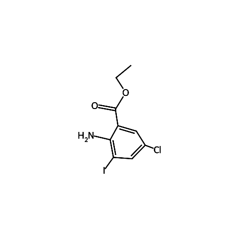 CCOC(=O)c1cc(Cl)cc(I)c1N